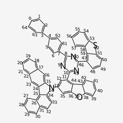 c1ccc(-c2ccc(-c3nc(-c4cc(-n5c6cc7ccccc7cc6c6c7ccccc7ccc65)cc5oc6ccccc6c45)nc(-c4cccc5sc6ccccc6c45)n3)cc2)cc1